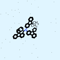 CC1(C)c2ccccc2-c2ccc(N(Cc3cccc4c3C3(c5ccccc5-4)C4CCC5CC(C4)CC3C5)c3ccc4c(c3)C3(CCCC3)c3ccccc3-4)cc21